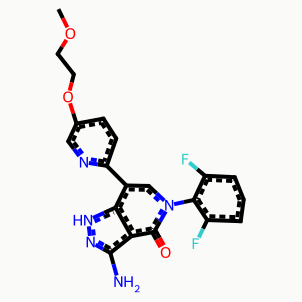 COCCOc1ccc(-c2cn(-c3c(F)cccc3F)c(=O)c3c(N)n[nH]c23)nc1